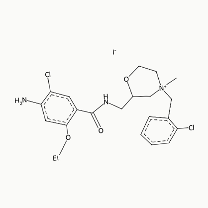 CCOc1cc(N)c(Cl)cc1C(=O)NCC1C[N+](C)(Cc2ccccc2Cl)CCO1.[I-]